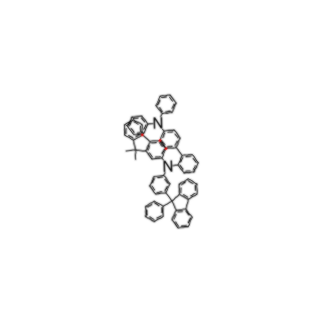 CC1(C)c2ccccc2-c2ccc(N(c3cccc(C4(c5ccccc5)c5ccccc5-c5ccccc54)c3)c3ccccc3-c3ccc(N(c4ccccc4)c4ccccc4)cc3)cc21